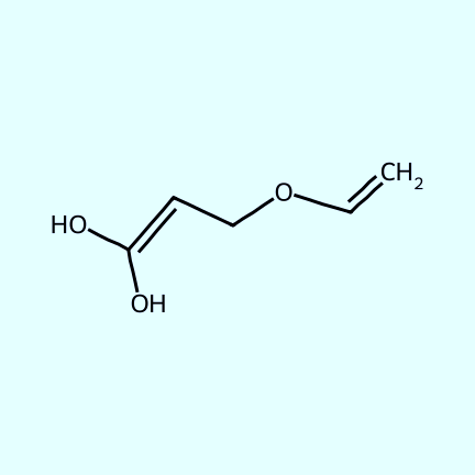 C=COCC=C(O)O